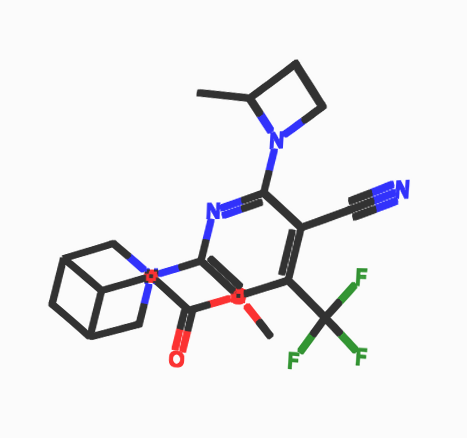 COC(=O)CC1C2CC1CN(c1cc(C(F)(F)F)c(C#N)c(N3CCC3C)n1)C2